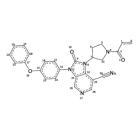 C=CC(=O)N1CCC(n2c(=O)n(-c3ccc(Oc4ccccc4)cc3)c3cncc(C#N)c32)C1